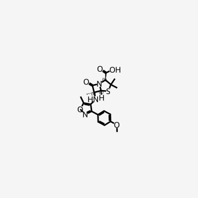 COc1ccc(-c2noc(C)c2N[C@@]2(C)C(=O)N3[C@@H](C(=O)O)C(C)(C)S[C@@H]32)cc1